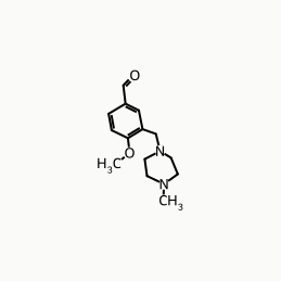 COc1ccc(C=O)cc1CN1CCN(C)CC1